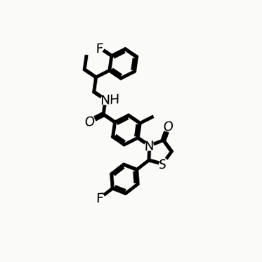 CCC(CNC(=O)c1ccc(N2C(=O)CSC2c2ccc(F)cc2)c(C)c1)c1ccccc1F